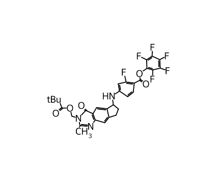 Cc1nc2cc3c(cc2c(=O)n1COC(=O)C(C)(C)C)C(Nc1ccc(C(=O)Oc2c(F)c(F)c(F)c(F)c2F)c(F)c1)CC3